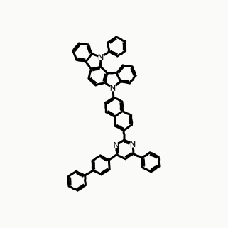 c1ccc(-c2ccc(-c3cc(-c4ccccc4)nc(-c4ccc5cc(-n6c7ccccc7c7c6ccc6c8ccccc8n(-c8ccccc8)c67)ccc5c4)n3)cc2)cc1